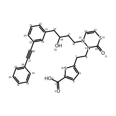 O=C(O)c1ccc(CCN2C(=O)SC=CN2CCC(O)Cc2cccc(C#Cc3ccccc3)c2)s1